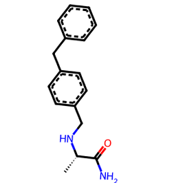 C[C@H](NCc1ccc(Cc2ccccc2)cc1)C(N)=O